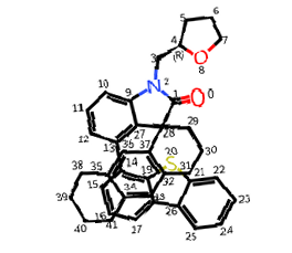 O=C1N(C[C@H]2CCCO2)c2cccc(-c3cccc4c3sc3ccccc34)c2C12CCCc1cc3c(cc12)CCCC3